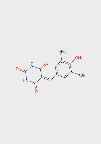 CC(C)(C)c1cc(C=C2C(=O)NC(=O)NC2=O)cc(C(C)(C)C)c1O